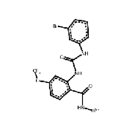 CCCNC(=O)c1ccc(OC(F)(F)F)cc1NC(=O)Nc1cccc(Br)c1